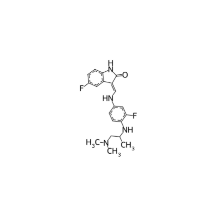 CC(CN(C)C)Nc1ccc(N/C=C2/C(=O)Nc3ccc(F)cc32)cc1F